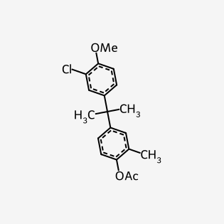 COc1ccc(C(C)(C)c2ccc(OC(C)=O)c(C)c2)cc1Cl